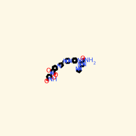 NC(=O)c1ncc(-n2cccn2)nc1Nc1ccc(N2CCN(C[C@H]3CCN(c4ccc5c(c4)C(=O)N(C4CCC(=O)NC4=O)C5=O)C3)CC2)cc1